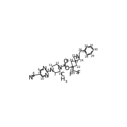 C[C@@H]1CN(c2ncc(C#N)cn2)CCN1C(=O)OC1(C(F)F)CC2(CN(Cc3ccccc3)C2)C1